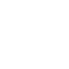 Cc1c(C)c2cccc3c4cccc5cccc(c(c1C)c23)c54